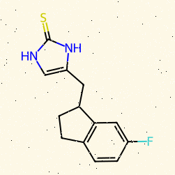 Fc1ccc2c(c1)C(Cc1c[nH]c(=S)[nH]1)CC2